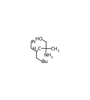 CC(C)(N)CO.CCC(C)CCCC(C)C